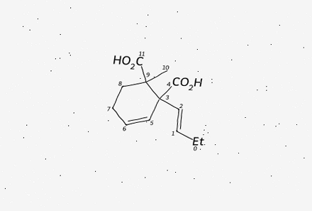 CCC=CC1(C(=O)O)C=CCCC1(C)C(=O)O